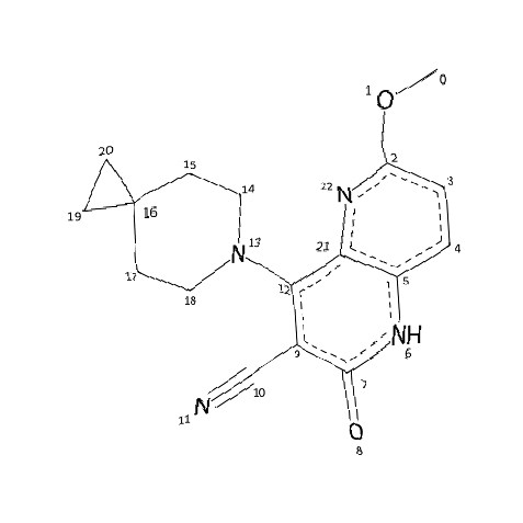 COc1ccc2[nH]c(=O)c(C#N)c(N3CCC4(CC3)CC4)c2n1